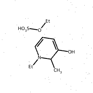 CCN1C=CC=C(O)C1C.CCOS(=O)(=O)O